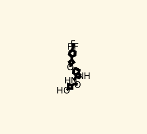 O=C(Nc1c[nH]c2ccc(OC3CC(c4ccc(C(F)(F)F)cc4)C3)cc12)C1CC(O)C1